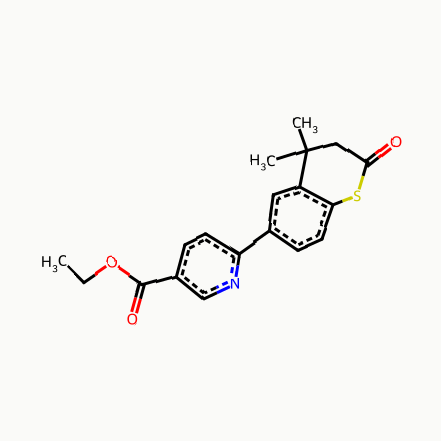 CCOC(=O)c1ccc(-c2ccc3c(c2)C(C)(C)CC(=O)S3)nc1